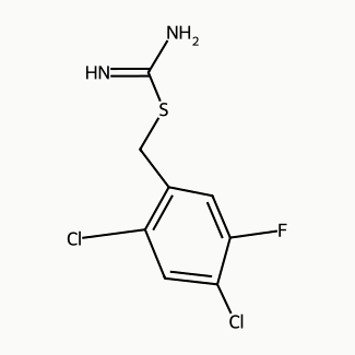 N=C(N)SCc1cc(F)c(Cl)cc1Cl